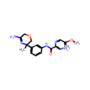 C=C(/C=N\C(=C/N)C(=O)Nc1cccc(C2(C)COCC(N)=N2)c1)OC